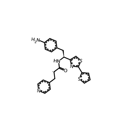 Nc1ccc(C[C@H](NC(=O)[CH]Cc2ccncc2)c2csc(-c3cccs3)n2)cc1